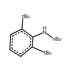 CCCCNc1c(C(C)(C)C)cccc1C(C)(C)C